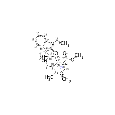 CC[C@@H]1CN2CC[C@]3(C(=O)N(CC)c4ccccc43)[C@@H]2C[C@@H]1/C(=C\OC)C(=O)OC